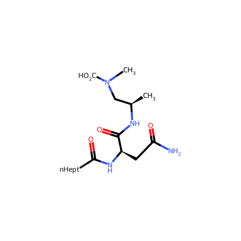 CCCCCCCC(=O)N[C@H](CC(N)=O)C(=O)N[C@H](C)CN(C)C(=O)O